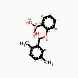 Cc1ccc(C)c(COc2ccccc2B(O)O)c1